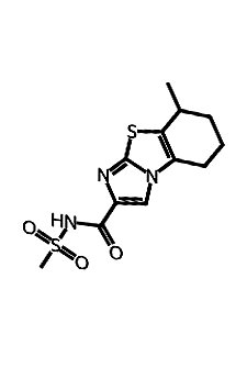 CC1CCCc2c1sc1nc(C(=O)NS(C)(=O)=O)cn21